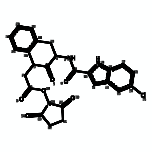 O=C(CC1C(=O)C(NC(=O)c2cc3cc(Cl)ccc3[nH]2)Cc2ccccc21)ON1C(=O)CCC1=O